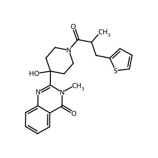 CC(Cc1cccs1)C(=O)N1CCC(O)(c2nc3ccccc3c(=O)n2C)CC1